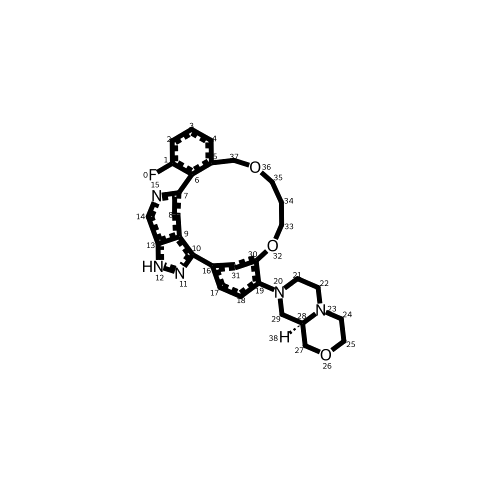 Fc1cccc2c1-c1cc3c(n[nH]c3cn1)-c1ccc(N3CCN4CCOC[C@H]4C3)c(c1)OCCCOC2